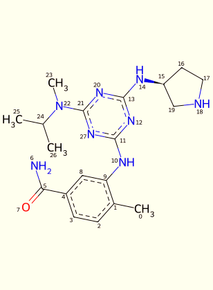 Cc1ccc(C(N)=O)cc1Nc1nc(N[C@H]2CCNC2)nc(N(C)C(C)C)n1